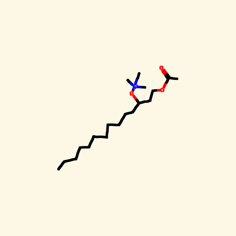 CCCCCCCCCCCC(CCOC(C)=O)O[N+](C)(C)C